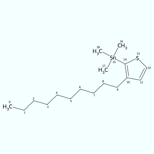 CCCCCCCCCCc1ccs[c]1[Sn]([CH3])([CH3])[CH3]